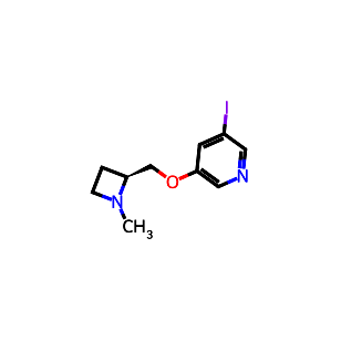 CN1CC[C@H]1COc1cncc(I)c1